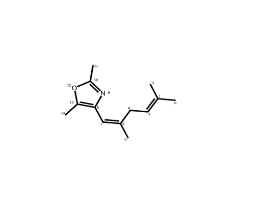 CC(C)=CC/C(C)=C\c1nc(C)oc1C